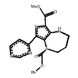 COC(=O)c1sc(-c2ccncn2)c2c1NCCCN2C(=O)OC(C)(C)C